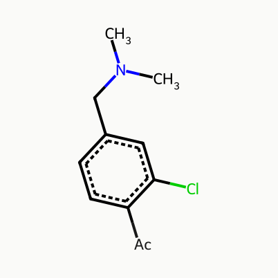 CC(=O)c1ccc(CN(C)C)cc1Cl